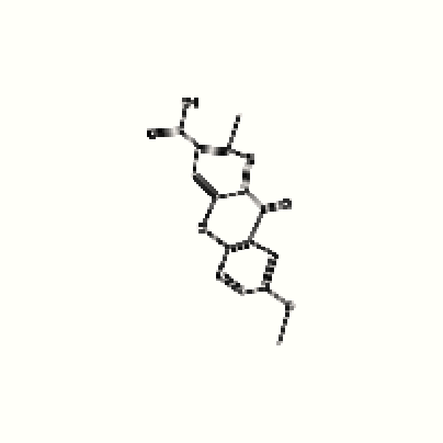 COc1ccc2oc3cc(C(=O)O)c(C)nc3c(=O)c2c1